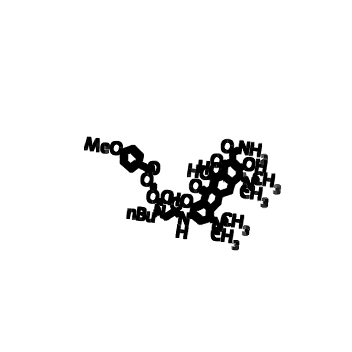 CCCCN(CC(=O)Nc1cc(N(C)C)c2c(c1O)C(=O)C1=C(O)[C@]3(O)C(=O)C(C(N)=O)=C(O)[C@@H](N(C)C)C3CC1C2)C(=O)OCOC(=O)c1ccc(OC)cc1